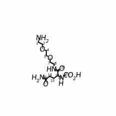 NCCOCCOCCNC(=O)C(CCC(N)=O)NC(=O)O